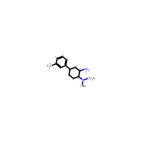 CC(C)(C)N(C(=O)O)C1CCC(c2cccc(C(F)(F)F)c2)CC1N